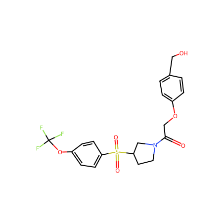 O=C(COc1ccc(CO)cc1)N1CCC(S(=O)(=O)c2ccc(OC(F)(F)F)cc2)C1